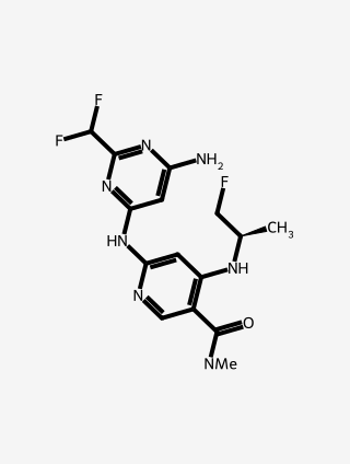 CNC(=O)c1cnc(Nc2cc(N)nc(C(F)F)n2)cc1N[C@H](C)CF